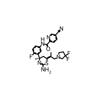 C/C(CN1CCC(F)(F)C1)=C1\C[C@@](C)(c2cc(NC(=O)c3ccc(C#N)cn3)ccc2F)N=C(N)S1